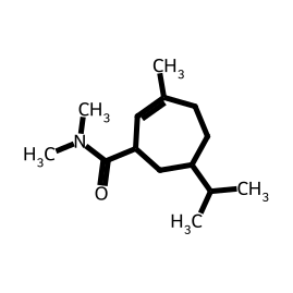 CC1=CC(C(=O)N(C)C)CC(C(C)C)CC1